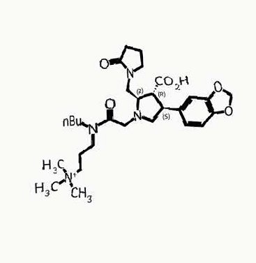 CCCCN(CCC[N+](C)(C)C)C(=O)CN1C[C@H](c2ccc3c(c2)OCO3)[C@@H](C(=O)O)[C@@H]1CN1CCCC1=O